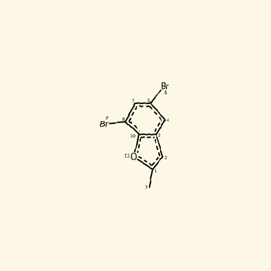 Cc1cc2cc(Br)cc(Br)c2o1